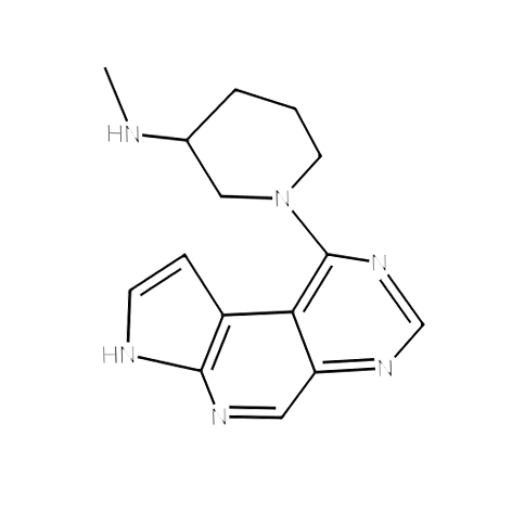 CNC1CCCN(c2ncnc3cnc4[nH]ccc4c23)C1